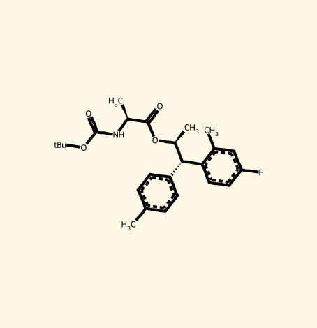 Cc1ccc([C@@H](c2ccc(F)cc2C)[C@H](C)OC(=O)[C@H](C)NC(=O)OC(C)(C)C)cc1